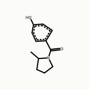 CC1CCCN1C(=O)c1ccc(O)cc1